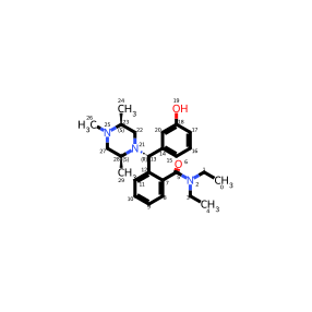 CCN(CC)C(=O)c1ccccc1[C@@H](c1cccc(O)c1)N1C[C@H](C)N(C)C[C@@H]1C